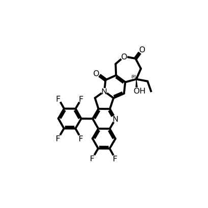 CC[C@@]1(O)CC(=O)OCc2c1cc1n(c2=O)Cc2c-1nc1cc(F)c(F)cc1c2-c1c(F)c(F)cc(F)c1F